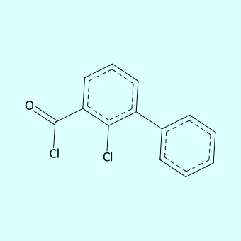 O=C(Cl)c1cccc(-c2ccccc2)c1Cl